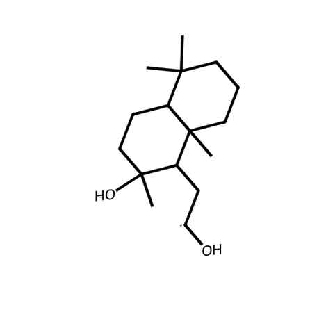 CC1(C)CCCC2(C)C1CCC(C)(O)C2C[CH]O